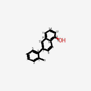 Cc1ccccc1-c1ccc2c(O)cccc2c1